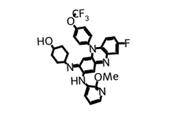 COc1ncccc1Nc1cc2nc3cc(F)ccc3n(-c3ccc(OC(F)(F)F)cc3)c-2c/c1=N\C1CCC(O)CC1